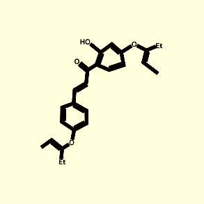 CC=C(CC)Oc1ccc(C=CC(=O)c2ccc(OC(=CC)CC)cc2O)cc1